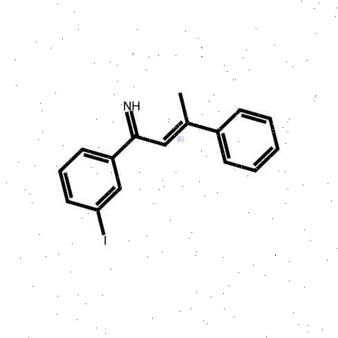 C/C(=C\C(=N)c1cccc(I)c1)c1ccccc1